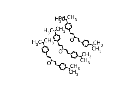 CC(C)c1ccc(C=CC(=O)C=Cc2ccc(C(C)C)cc2)cc1.CC(C)c1ccc(C=CC(=O)C=Cc2ccc(C(C)C)cc2)cc1.CC(C)c1ccc(C=CC(=O)C=Cc2ccc(C(C)C)cc2)cc1.[Pd]